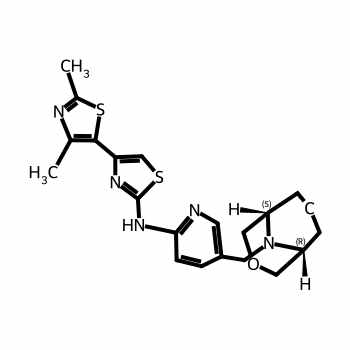 Cc1nc(C)c(-c2csc(Nc3ccc(CN4[C@@H]5CCC[C@H]4COC5)cn3)n2)s1